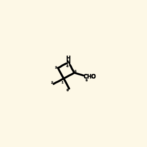 CC1(C)CNC1C=O